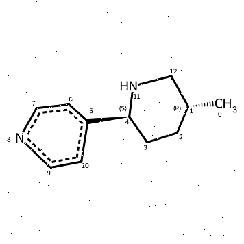 C[C@@H]1CC[C@@H](c2ccncc2)NC1